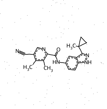 Cc1c(C#N)cnc(C(=O)Nc2ccc3[nH]nc(C4(C)CC4)c3c2)c1C